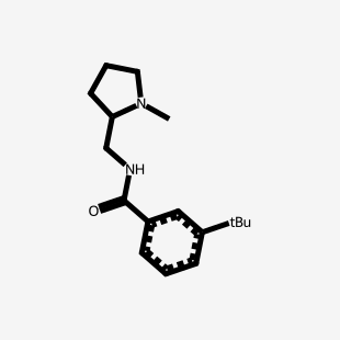 CN1CCCC1CNC(=O)c1cccc(C(C)(C)C)c1